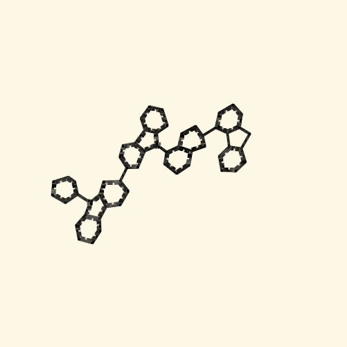 c1ccc(-n2c3ccccc3c3ccc(-c4ccc5c6ccccc6n(-c6cccc7cc(-c8cccc9c8-c8ccccc8C9)ccc67)c5c4)cc32)cc1